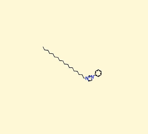 CCCCCCCCCCCCCCCCCC[n+]1ccn(-c2ccccc2)c1